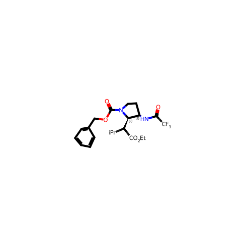 CCOC(=O)C(C(C)C)[C@@H]1[C@@H](NC(=O)C(F)(F)F)CCN1C(=O)OCc1ccccc1